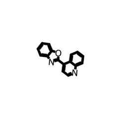 c1ccc2oc(-c3ccnc4ccccc34)nc2c1